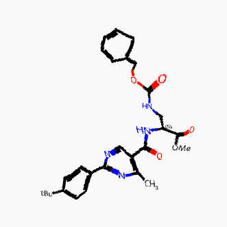 COC(=O)[C@H](CNC(=O)OCc1ccccc1)NC(=O)c1cnc(-c2ccc(C(C)(C)C)cc2)nc1C